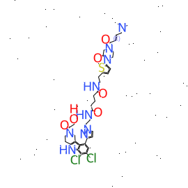 CN(C)C/C=C/C(=O)N1CCN(c2ccc(CCNC(=O)CCCC(=O)NCCn3ccc(-c4cc(Cl)c(Cl)c5[nH]c6c(c45)CN(C(=O)CO)CC6)n3)s2)C(=O)C1